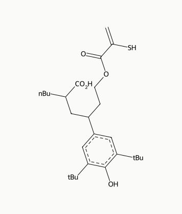 C=C(S)C(=O)OCCC(CC(CCCC)C(=O)O)c1cc(C(C)(C)C)c(O)c(C(C)(C)C)c1